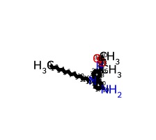 CCCCCCCCCCCCCCn1c2ccc(N)cc2c2cc(/C(C)=N/OC(C)=O)ccc21